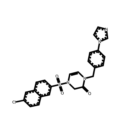 O=C1CN(S(=O)(=O)c2ccc3cc(Cl)ccc3c2)C=CN1Cc1ccc(-n2ccnc2)cc1